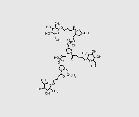 COC[C@@H]1C[C@@H](OP(=O)(O)OC[C@@H]2C[C@@H](OP(=O)(O)OC[C@@H]3C[C@@H](O)CN3C(=O)CCCO[C@@H]3OC(CO)[C@H](O)[C@H](O)C3C)CN2C(=O)CCCO[C@@H]2OC(CO)[C@H](O)[C@H](O)C2C)CN1C(=O)CCCO[C@@H]1OC(CO)[C@H](O)[C@H](O)C1C